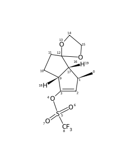 C[C@H]1C=C(OS(=O)(=O)C(F)(F)F)[C@@H]2CCC3(OCCO3)[C@H]12